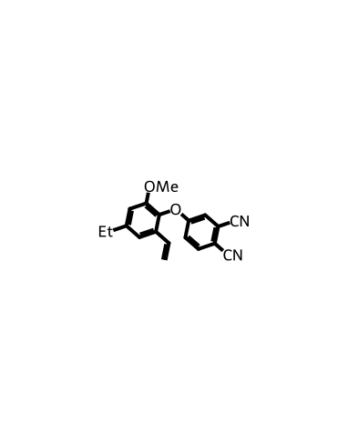 C=Cc1cc(CC)cc(OC)c1Oc1ccc(C#N)c(C#N)c1